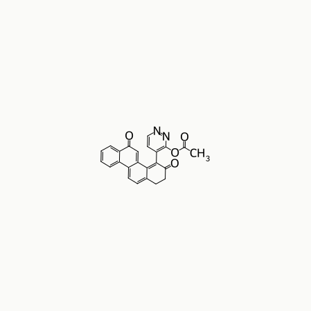 CC(=O)Oc1nnccc1C1=c2c(ccc3c2=CC(=O)c2ccccc2-3)CCC1=O